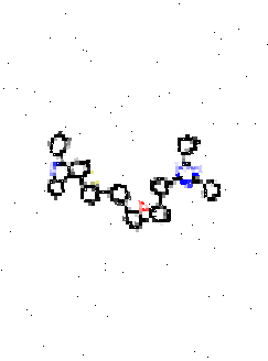 c1ccc(-c2nc(-c3ccccc3)nc(-c3cccc(-c4cccc5c4oc4c(-c6cccc(-c7cccc8c7sc7ccc9c(-c%10ccccc%10)nc%10ccccc%10c9c78)c6)cccc45)c3)n2)cc1